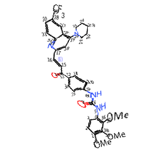 COc1ccc(NC(=O)Nc2ccc(C(=O)/C=C/c3cc(N4CCCCC4)c4cc(C(F)(F)F)ccc4n3)cc2)c(OC)c1OC